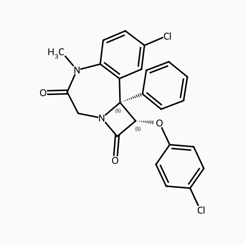 CN1C(=O)CN2C(=O)[C@@H](Oc3ccc(Cl)cc3)[C@]2(c2ccccc2)c2cc(Cl)ccc21